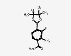 COC(=O)c1ccc(B2OC(C)(C)C(C)(C)O2)c(F)c1N